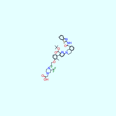 Cc1c(OCCCN2CCN(CC(=O)O)CC2C(F)(F)F)cccc1-c1ccc(N2CCc3cccc(C(=O)Nc4nc5ccccc5s4)c3C2)nc1C(=O)OC(C)(C)C